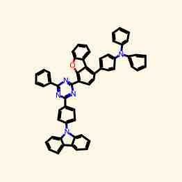 c1ccc(-c2nc(-c3ccc(-n4c5ccccc5c5ccccc54)cc3)nc(-c3ccc(-c4ccc(N(c5ccccc5)c5ccccc5)cc4)c4c3oc3ccccc34)n2)cc1